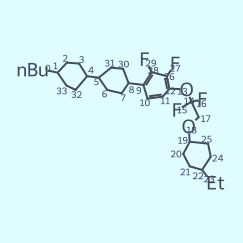 CCCCC1CCC(C2CCC(c3ccc(OC(F)(F)COC4CCC(CC)CC4)c(F)c3F)CC2)CC1